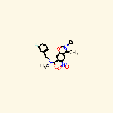 C=C1c2cc([N+](=O)[O-])c(C(=O)N(C)CCc3cccc(F)c3)cc2OCN1C1CC1